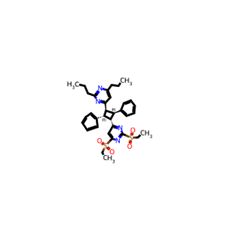 CCCc1cc([C@H]2[C@@H](c3ccccc3)[C@H](c3cc(S(=O)(=O)CC)nc(S(=O)(=O)CC)n3)[C@@H]2c2ccccc2)nc(CCC)n1